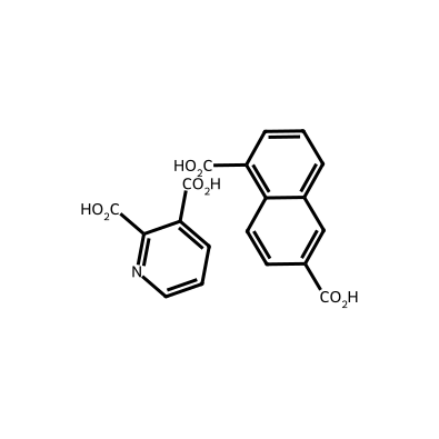 O=C(O)c1ccc2c(C(=O)O)cccc2c1.O=C(O)c1cccnc1C(=O)O